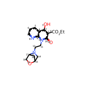 CCOC(=O)c1c(O)c2cccnc2n(CCN2CC3CC2CO3)c1=O